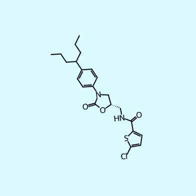 CCCC(CCC)c1ccc(N2C[C@H](CNC(=O)c3ccc(Cl)s3)OC2=O)cc1